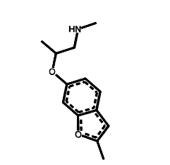 CNCC(C)Oc1ccc2cc(C)oc2c1